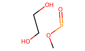 COP=O.OCCO